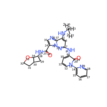 [2H]C([2H])([2H])Nc1cc(Nc2cccn(-c3ccccn3)c2=O)nn2c(C(=O)NC3CC4CCOC43)cnc12